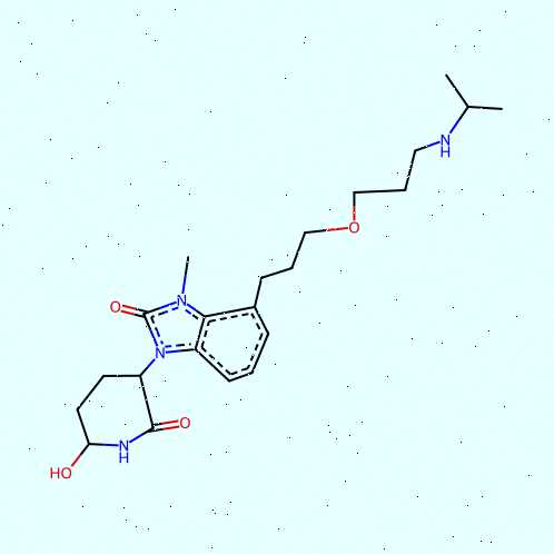 CC(C)NCCCOCCCc1cccc2c1n(C)c(=O)n2C1CCC(O)NC1=O